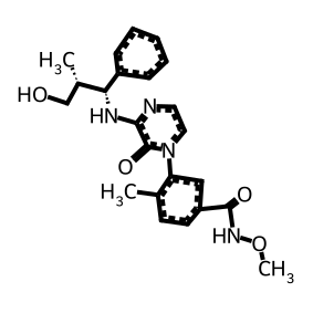 CONC(=O)c1ccc(C)c(-n2ccnc(N[C@@H](c3ccccc3)[C@@H](C)CO)c2=O)c1